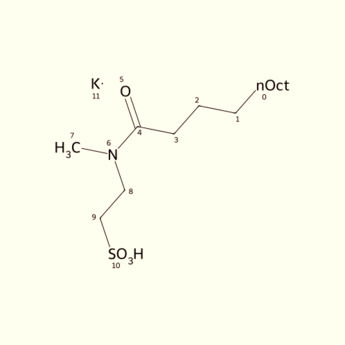 CCCCCCCCCCCC(=O)N(C)CCS(=O)(=O)O.[K]